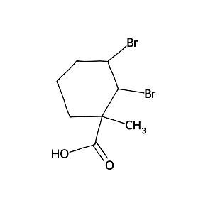 CC1(C(=O)O)CCCC(Br)C1Br